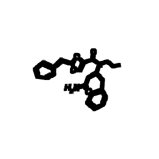 CCCN(C(=O)C1=COC(Cc2ccccc2)O1)C(CC(N)=O)Cc1ccccc1